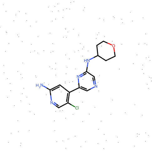 Nc1cc(-c2cncc(NC3CCOCC3)n2)c(Cl)cn1